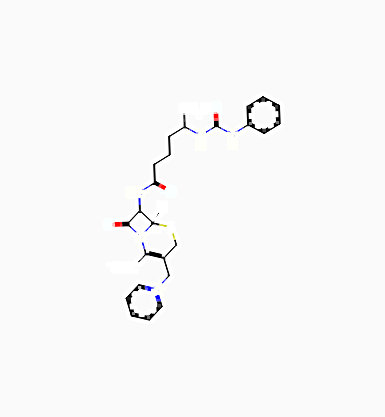 O=C(CCCC(NC(=O)Nc1ccccc1)C(=O)O)NC1C(=O)N2C(C(=O)[O-])=C(C[n+]3ccccc3)CS[C@@H]12